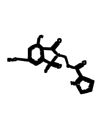 COc1cc(C(C)C)c2c(c1)S(=O)(=O)N(COC(=O)c1ccc[nH]1)C2=O